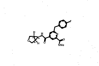 CNC(=O)c1cc(C(=O)N[C@H]2[C@@H]3COC[C@@H]32)cc(Cc2ccc(F)cc2)n1